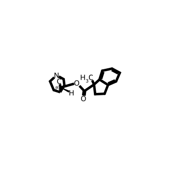 CC1(C(=O)O[C@H]2CN3CCC2CC3)CCc2ccccc21